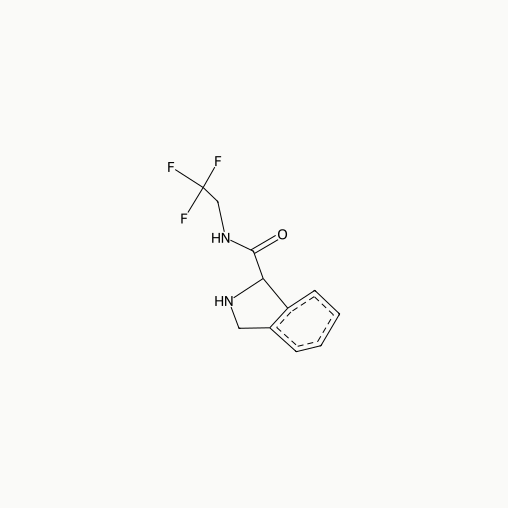 O=C(NCC(F)(F)F)C1NCc2ccccc21